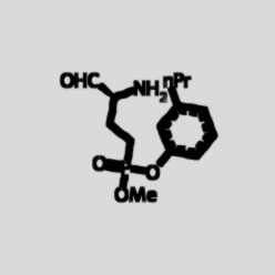 CCCc1cccc(OP(=O)(CC[C@H](N)C=O)OC)c1